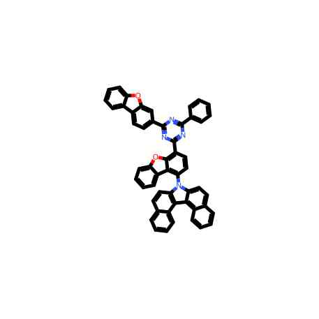 c1ccc(-c2nc(-c3ccc4c(c3)oc3ccccc34)nc(-c3ccc(-n4c5ccc6ccccc6c5c5c6ccccc6ccc54)c4c3oc3ccccc34)n2)cc1